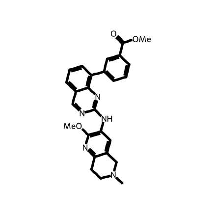 COC(=O)c1cccc(-c2cccc3cnc(Nc4cc5c(nc4OC)CCN(C)C5)nc23)c1